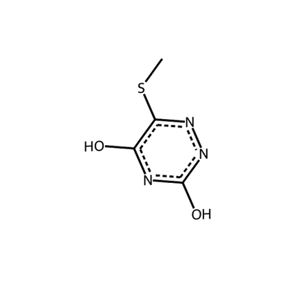 CSc1nnc(O)nc1O